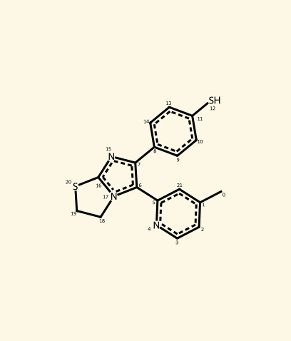 Cc1ccnc(-c2c(-c3ccc(S)cc3)nc3n2CCS3)c1